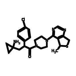 CC1SCc2ncnc(N3CCN(C(=O)C(CC4(N)CC4)c4ccc(Cl)cc4)CC3)c21